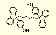 Oc1ccc(C2(CCCCCCC3(c4ccc(O)cc4)c4ccccc4-c4ccccc43)c3ccccc3-c3ccccc32)cc1